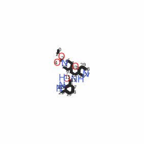 CCOC(=O)N1CCC2(CC1)CC(NC(=O)c1cccc3cn[nH]c13)c1cnccc1O2